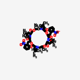 CC(C)CC1C(=O)OC(Cc2ccccc2[N+](=O)[O-])C(=O)N(C)C(CC(C)C)C(=O)OC(C)CN(C)C(CC(C)C)C(=O)OC(Cc2ccccc2[N+](=O)[O-])C(=O)N(C)C(CC(C)C)C(=O)OC(C)CN1C